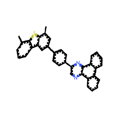 Cc1cccc2c1sc1c(C)cc(-c3ccc(-c4cnc5c6ccccc6c6ccccc6c5n4)cc3)cc12